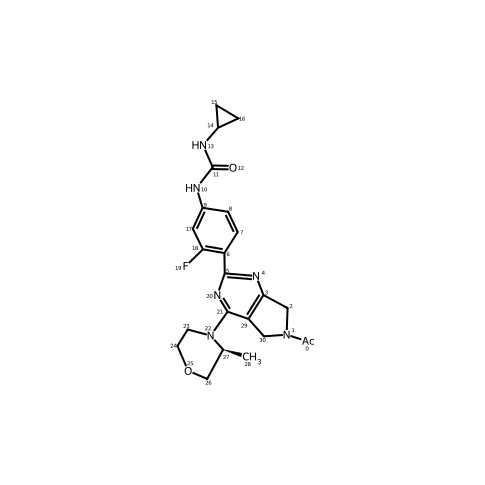 CC(=O)N1Cc2nc(-c3ccc(NC(=O)NC4CC4)cc3F)nc(N3CCOC[C@@H]3C)c2C1